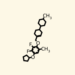 Cc1cc(OC2CCCC2)c(F)c(F)c1OCC1=CCC(C2CCC(C)CC2)CC1